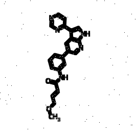 COC/C=C/C(=O)Nc1cccc(-c2cnc3[nH]cc(-c4ccncn4)c3c2)c1